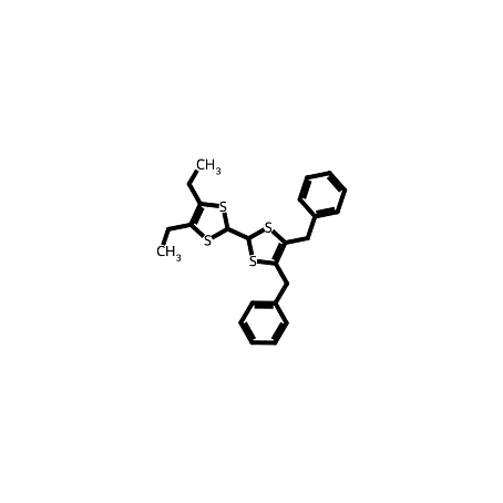 CCC1=C(CC)SC(C2SC(Cc3ccccc3)=C(Cc3ccccc3)S2)S1